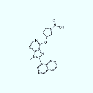 Cn1c(-c2cncc3ccccc23)nc2c(OC3CCN(C(=O)O)C3)ncnc21